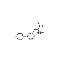 CNC(Cc1cccc(-c2ccncc2)c1)C(=O)O